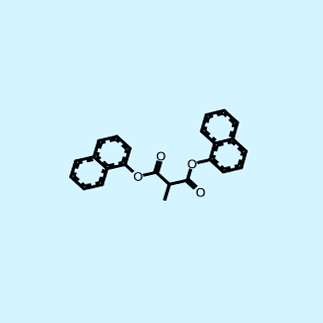 CC(C(=O)Oc1cccc2ccccc12)C(=O)Oc1cccc2ccccc12